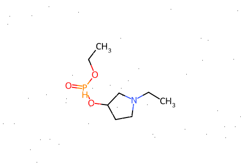 CCO[PH](=O)OC1CCN(CC)C1